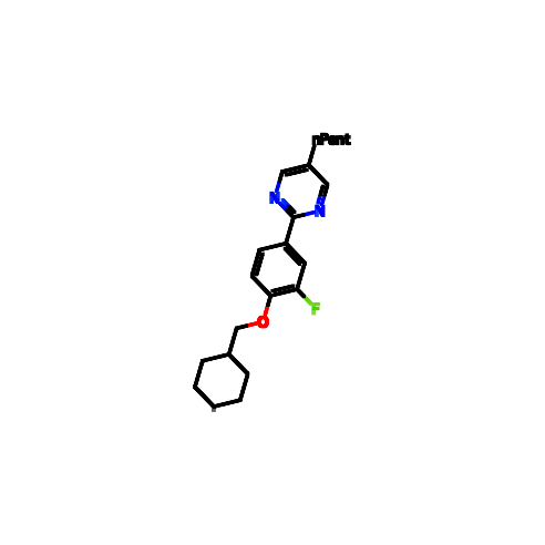 CCCCCc1cnc(-c2ccc(OCC3CC[CH]CC3)c(F)c2)nc1